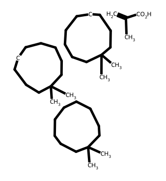 C=C(C)C(=O)O.CC1(C)CCCCCCCCC1.CC1(C)CCCCCCCCC1.CC1(C)CCCCCCCCC1